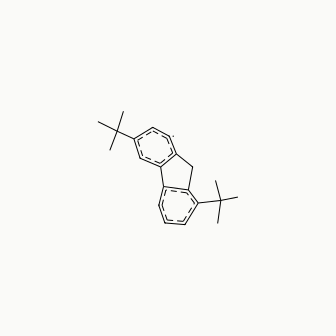 CC(C)(C)c1c[c]c2c(c1)-c1cccc(C(C)(C)C)c1C2